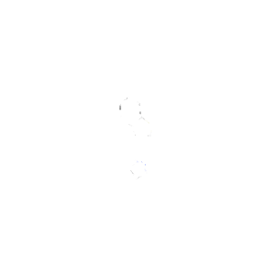 c1c[nH]c(Cc2csc3ccccc23)c1